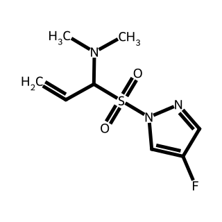 C=CC(N(C)C)S(=O)(=O)n1cc(F)cn1